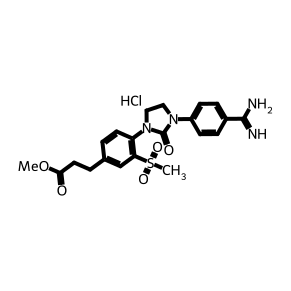 COC(=O)CCc1ccc(N2CCN(c3ccc(C(=N)N)cc3)C2=O)c(S(C)(=O)=O)c1.Cl